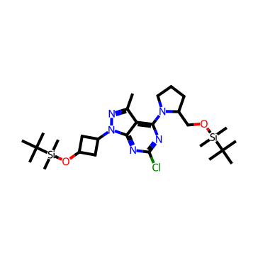 Cc1nn(C2CC(O[Si](C)(C)C(C)(C)C)C2)c2nc(Cl)nc(N3CCCC3CO[Si](C)(C)C(C)(C)C)c12